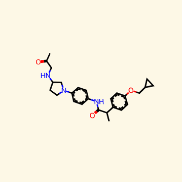 CC(=O)CNC1CCN(c2ccc(NC(=O)C(C)c3ccc(OCC4CC4)cc3)cc2)C1